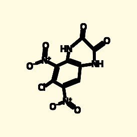 O=c1[nH]c2cc([N+](=O)[O-])c(Cl)c([N+](=O)[O-])c2[nH]c1=O